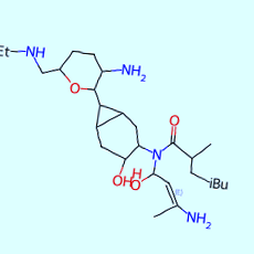 CCNCC1CCC(N)C(C2C3CC(O)C(N(C(=O)C(C)CC(C)CC)C(O)/C=C(\C)N)CC32)O1